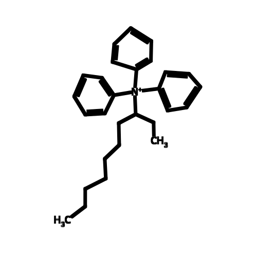 CCCCCCCC(CC)[N+](c1ccccc1)(c1ccccc1)c1ccccc1